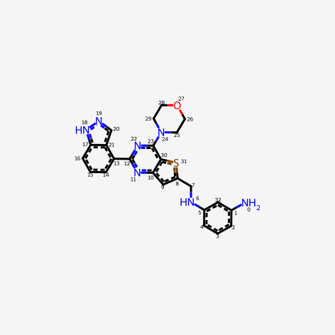 Nc1cccc(NCc2cc3nc(-c4cccc5[nH]ncc45)nc(N4CCOCC4)c3s2)c1